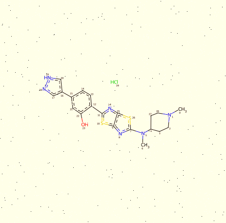 CN1CCC(N(C)c2nc3sc(-c4ccc(-c5cn[nH]c5)cc4O)nc3s2)CC1.Cl